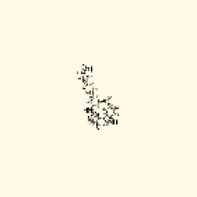 O[C@H]1CCN(C2CCN(c3cc(Nc4ncc(Cl)c(-c5c[nH]c6ccccc56)n4)cc(C4CC4)c3)CC2)C1